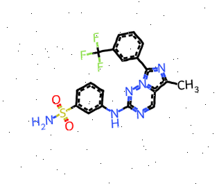 Cc1nc(-c2cccc(C(F)(F)F)c2)n2nc(Nc3cccc(S(N)(=O)=O)c3)ncc12